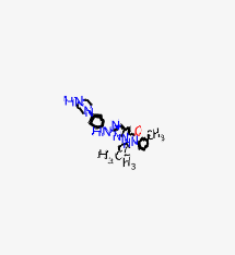 CCC(CC)n1c(C(=O)Nc2cccc(C)c2)cc2cnc(Nc3ccc(N4CCNCC4)cc3)nc21